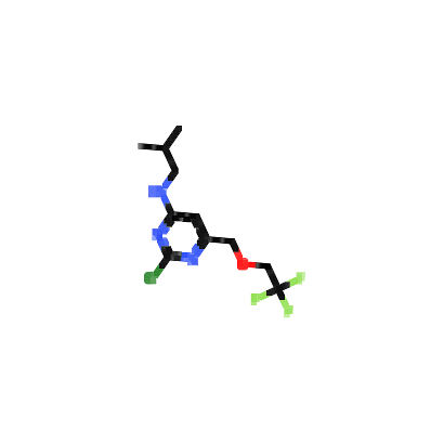 CC(C)CNc1cc(COCC(F)(F)F)nc(Cl)n1